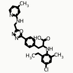 CCc1cc(Cl)cc(C)c1NC(Cc1ccc(-c2nnc(CNc3cc(C)ccn3)o2)cc1)C(=O)O